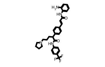 Nc1ccccc1NC(=O)/C=C/c1ccc(C(CCCN2CCCC2)C(=O)Nc2ccc(C(F)(F)F)cc2)cc1